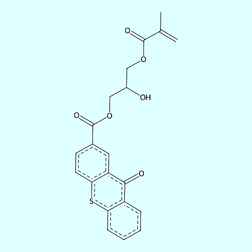 C=C(C)C(=O)OCC(O)COC(=O)c1ccc2sc3ccccc3c(=O)c2c1